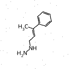 CC(=CCNN)c1ccccc1